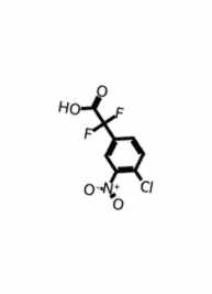 O=C(O)C(F)(F)c1ccc(Cl)c([N+](=O)[O-])c1